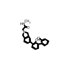 CNC(=O)CN1Cc2ccc(-c3cccc(-c4ccccc4Cl)c3C)cc2C1